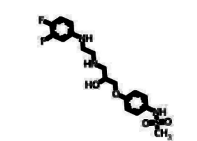 CS(=O)(=O)Nc1ccc(OCC(O)CNCCNc2ccc(F)c(F)c2)cc1